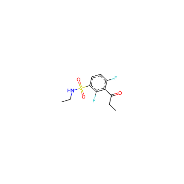 CCNS(=O)(=O)c1ccc(F)c(C(=O)CC)c1F